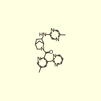 Cc1cnc(C(=O)N2CC3CC(Nc4cnc(C)cn4)C2C3)c(-c2ncccn2)c1